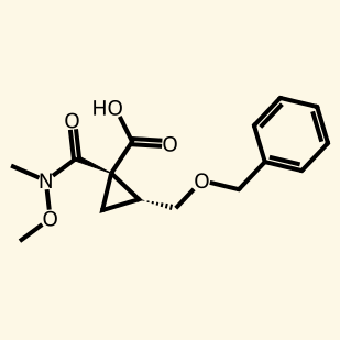 CON(C)C(=O)[C@]1(C(=O)O)C[C@H]1COCc1ccccc1